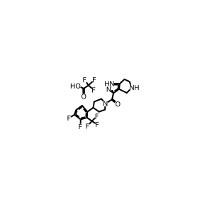 O=C(O)C(F)(F)F.O=C(c1n[nH]c2c1CNCC2)N1CCC(c2ccc(F)c(F)c2C(F)(F)F)CC1